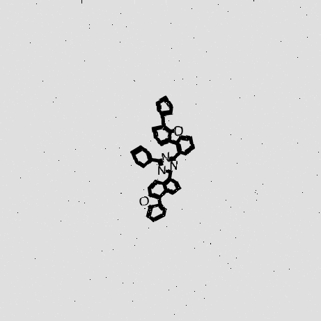 c1ccc(-c2nc(-c3cccc4c3ccc3oc5ccccc5c34)nc(-c3cccc4oc5c(-c6ccccc6)cccc5c34)n2)cc1